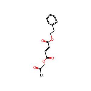 CCC(=O)COC(=O)/C=C/C(=O)OCCc1ccccc1